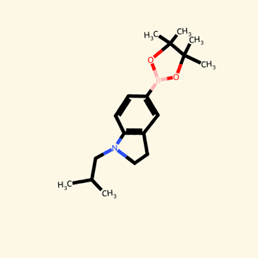 CC(C)CN1CCc2cc(B3OC(C)(C)C(C)(C)O3)ccc21